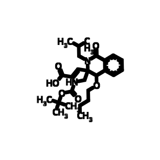 CCCCOC1c2ccccc2C(=O)N(CC(C)C)C1(C=CC(=O)O)CNC(=O)OC(C)(C)C